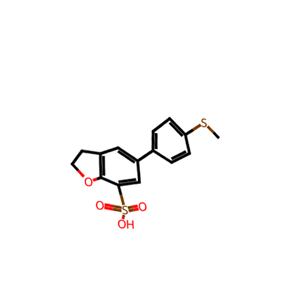 CSc1ccc(-c2cc3c(c(S(=O)(=O)O)c2)OCC3)cc1